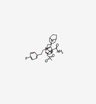 CS(=O)(=O)CC(=O)N(CCc1ccc(F)cc1)CCN1C2CCC1CC(c1ccccc1C(N)=O)C2